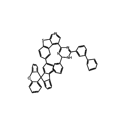 c1ccc(-c2cccc(C3=NC(c4cncc5sc6ccc(-c7ccc8c(c7)C7(c9ccccc9Oc9ccccc97)c7ccccc7-8)cc6c45)=NC(c4ccccc4)N3)c2)cc1